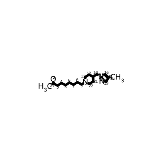 CC(=O)CCCCCCCN1CCC(Cn2cc(C)cn2)CC1